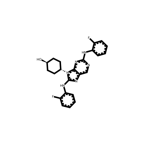 O[C@H]1CC[C@H](n2c(Nc3ccccc3F)nc3cnc(Nc4ccccc4F)nc32)CC1